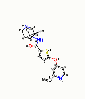 COc1cc(Oc2ccc(C(=O)N[C@H]3CN4CCC3CC4)s2)ccn1